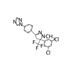 CN1N=C(c2ccc(-n3cncn3)cc2)CC1(c1cc(Cl)cc(Cl)c1)C(F)(F)F